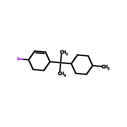 CC1CCC(C(C)(C)C2C=CC(I)CC2)CC1